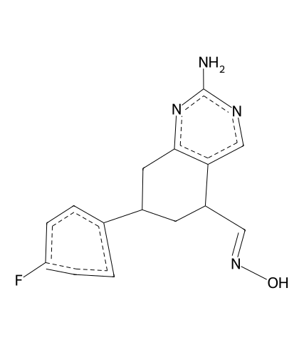 Nc1ncc2c(n1)CC(c1ccc(F)cc1)CC2C=NO